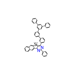 C[Si]1(C)c2cc3ccccc3cc2-c2nc(-c3ccccc3)nc(-c3cccc(-c4cccc(-c5cc(-c6ccccc6)cc(-c6ccccc6)c5)c4)c3)c21